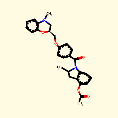 CC(=O)Oc1cccc2c1CC(C)N2C(=O)c1ccc(OC[C@@H]2CN(C)c3ccccc3O2)cc1